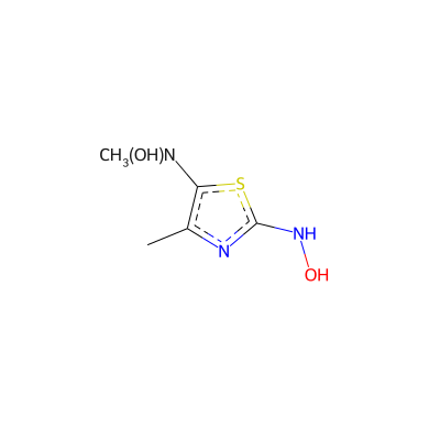 Cc1nc(NO)sc1N(C)O